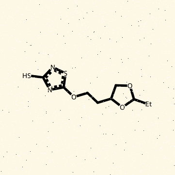 CCC1OCC(CCOc2nc(S)ns2)O1